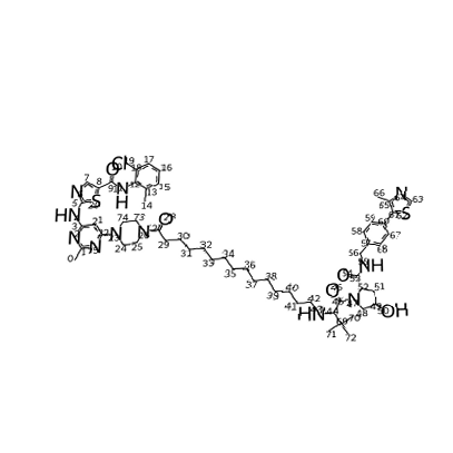 Cc1nc(Nc2ncc(C(=O)Nc3c(C)cccc3Cl)s2)cc(N2CCN(C(=O)CCCCCCCCCCCCCCNC(C(=O)N3C[C@H](O)C[C@H]3C(=O)NCc3ccc(-c4scnc4C)cc3)C(C)(C)C)CC2)n1